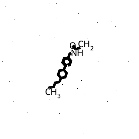 C=CC(=O)NCc1ccc(C2CCC(CCCCC)CC2)cc1